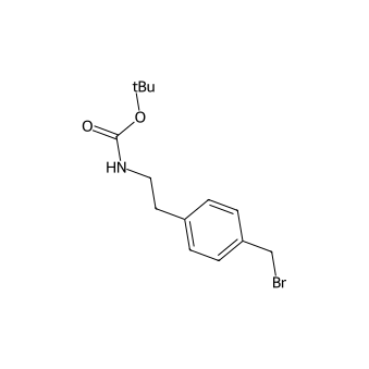 CC(C)(C)OC(=O)NCCc1ccc(CBr)cc1